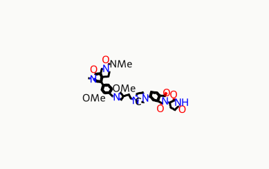 CNC(=O)N1CCc2c(-c3cc(OC)c(CN4CC(CCN5CCN(c6ccc7c(c6)C(=O)N(C6CCC(=O)NC6=O)C7=O)CC5)C4)c(OC)c3)cn(C)c(=O)c2C1